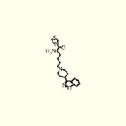 N[C@@H](CCCCN1CCC(c2noc3ccccc23)CC1)C(=O)N1CCSC1